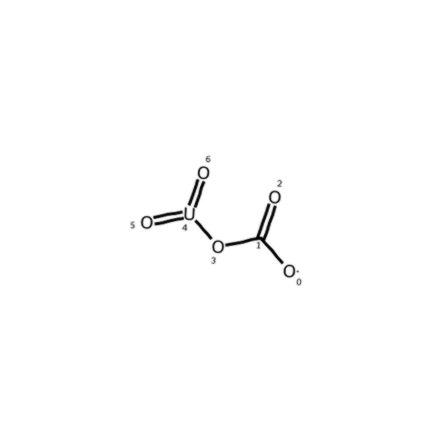 [O]C(=O)[O][U](=[O])=[O]